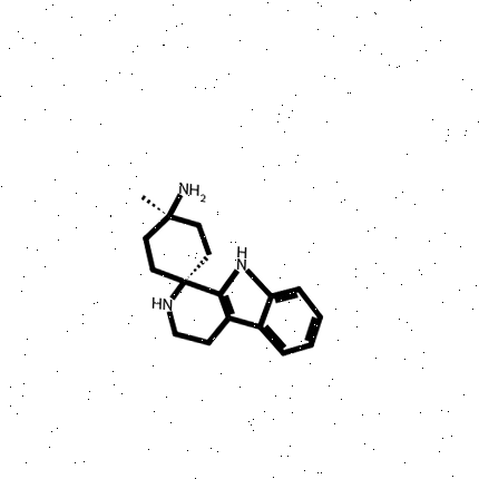 C[C@]1(N)CC[C@@]2(CC1)NCCc1c3ccccc3[nH]c12